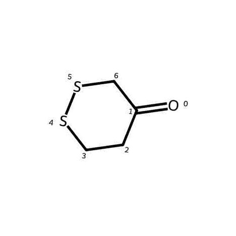 O=C1CCSSC1